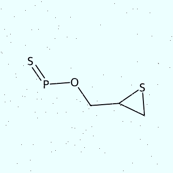 S=POCC1CS1